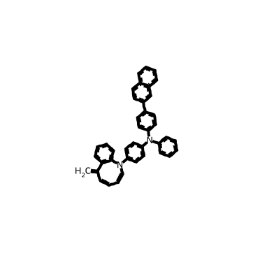 C=C1/C=C\C=C/N(c2ccc(N(c3ccccc3)c3ccc(-c4ccc5ccccc5c4)cc3)cc2)c2ccccc21